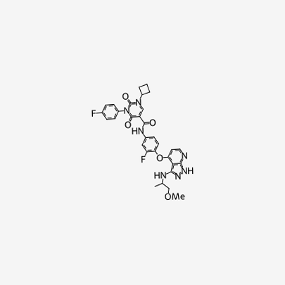 COCC(C)Nc1n[nH]c2nccc(Oc3ccc(NC(=O)c4cn(C5CCC5)c(=O)n(-c5ccc(F)cc5)c4=O)cc3F)c12